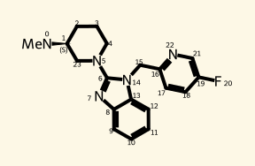 CN[C@H]1CCCN(c2nc3ccccc3n2Cc2ccc(F)cn2)C1